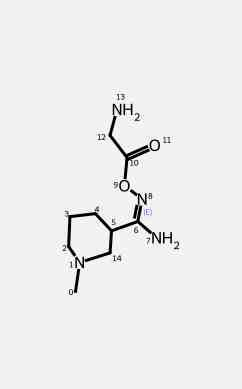 CN1CCCC(/C(N)=N\OC(=O)CN)C1